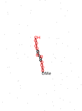 COCCOCCOCCOCCOc1ccc2cc3c(cc2c1)oc1cc2c(cc13)oc1cc3cc(COCCOCCOCCOCCO)ccc3cc12